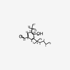 CCCCC(C)(C)c1cc(C=O)cc(C(C)(C)C)c1O